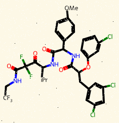 COc1ccc(C(NC(=O)C(Cc2cc(Cl)cc(Cl)c2)Oc2cccc(Cl)c2)C(=O)NC(C(=O)C(F)(F)C(=O)NCC(F)(F)F)C(C)C)cc1